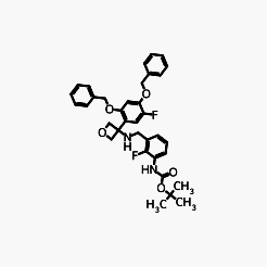 CC(C)(C)OC(=O)Nc1cccc(CNC2(c3cc(F)c(OCc4ccccc4)cc3OCc3ccccc3)COC2)c1F